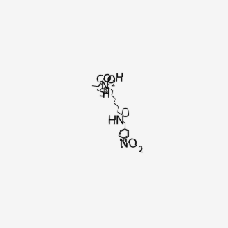 CC1=C(C(=O)O)N2C(=O)C(CCCCCCC(=O)NCc3ccc([N+](=O)[O-])cc3)[C@@H]2SC1